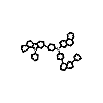 c1ccc(-c2ccc3cccc(-c4ccc(N(c5ccc(-c6ccc7c8ccc9ccccc9c8n(-c8ccccc8)c7c6)cc5)c5ccc6c(ccc7ccccc76)c5)cc4)c3c2)cc1